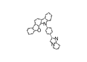 c1ccc2c(c1)oc1c2ccc2c3ccccc3n(-c3ccc(-c4cn5ccccc5n4)cc3)c21